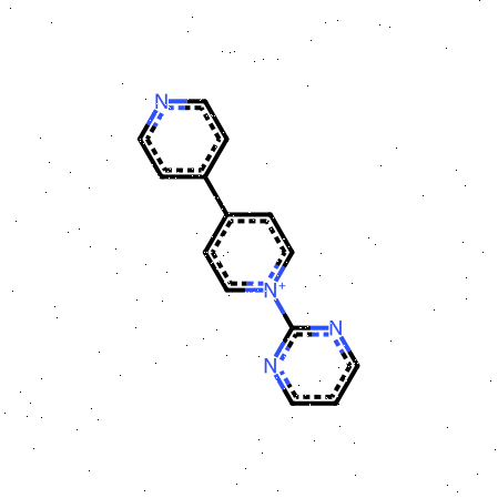 c1cnc(-[n+]2ccc(-c3ccncc3)cc2)nc1